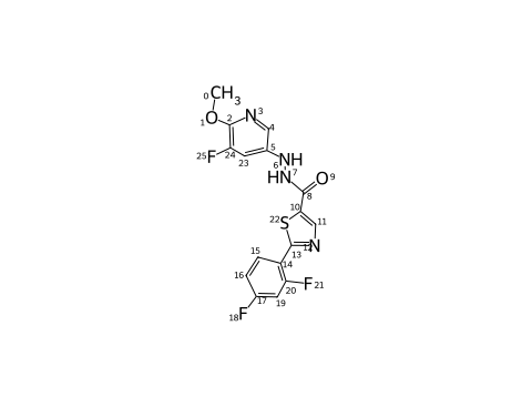 COc1ncc(NNC(=O)c2cnc(-c3ccc(F)cc3F)s2)cc1F